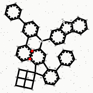 c1ccc(-c2ccc(N(c3ccc4c(c3)-c3c(-c5ccccc5)cccc3C43C4CC5CC6CC3C564)c3ccc4c(c3)oc3ccccc34)c(-c3ccccc3)c2)cc1